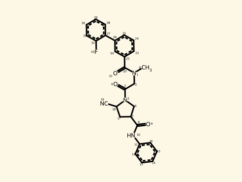 CN(CC(=O)N1CC(C(=O)Nc2ccccc2)CC1C#N)C(=O)c1cccc(-c2ccccc2F)c1